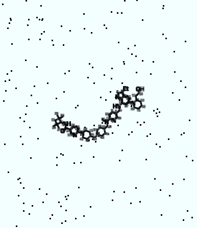 CCc1cnn2c(NCc3ccc(N(C)CC4CCN(CC5CCN(c6ncc(C(=O)NC7C(C)(C)CC7(C)C)cn6)CC5)CC4)nc3)cc(N3CCCCC3CCO)nc12